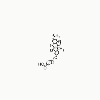 COc1cc(C2(NC(=O)c3cc(OCC4CCC5CN(C(=O)O)CCN45)ccc3C)CC2)c2cccnc2c1